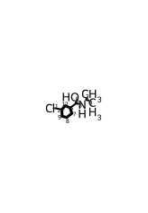 CC(C)NC(O)c1cccc(Cl)c1